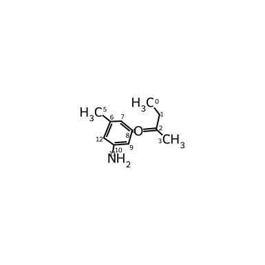 CCC(C)=O.Cc1cccc(N)c1